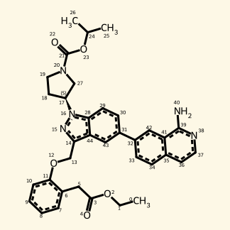 CCOC(=O)Cc1ccccc1OCc1nn([C@H]2CCN(C(=O)OC(C)C)C2)c2ccc(-c3ccc4ccnc(N)c4c3)cc12